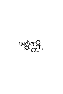 Fc1ccc(-c2csc3c(N4CCCC4)cnc(OCc4ccccc4)c23)cc1C(F)(F)F